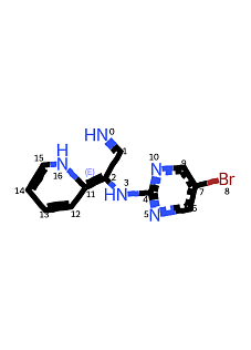 N=C/C(Nc1ncc(Br)cn1)=C1/C=CC=CN1